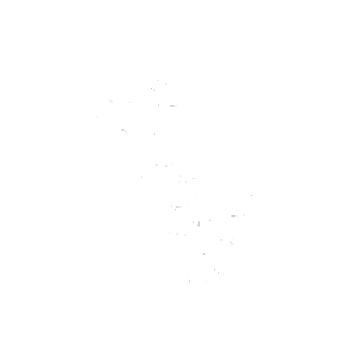 CCCCCNC(=O)C(NCc1ccc2nc(NC(=O)c3cccnc3-c3ccc(C(F)(F)F)cc3)ccc2c1)c1ccccc1